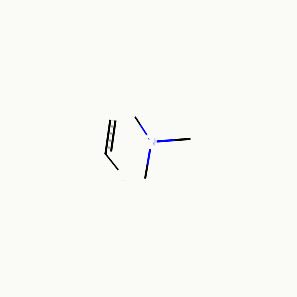 CN(C)C.[CH2]CC=C